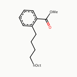 CCCCCCCCCCCCc1ccccc1C(=O)OC